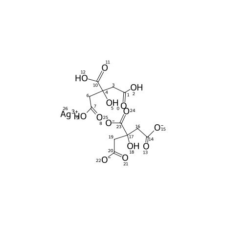 O=C(O)CC(O)(CC(=O)O)C(=O)O.O=C([O-])CC(O)(CC(=O)[O-])C(=O)[O-].[Ag+3]